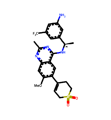 COc1cc2nc(C)nc(N[C@H](C)c3cc(N)cc(C(F)(F)F)c3)c2cc1C1=CCS(=O)(=O)CC1